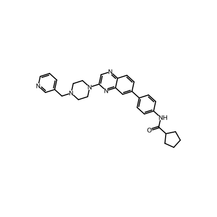 O=C(Nc1ccc(-c2ccc3ncc(N4CCN(Cc5cccnc5)CC4)nc3c2)cc1)C1CCCC1